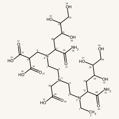 CCN(CCN(CCN(CC(C(=O)O)C(=O)O)C(CC(O)C(O)CO)C(N)=O)CC(=O)O)C(CC(O)C(O)CO)C(N)=O